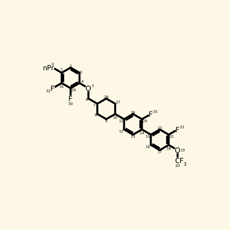 CCCc1ccc(OCC2CCC(c3ccc(-c4ccc(OC(F)(F)F)c(F)c4)c(F)c3)CC2)c(F)c1F